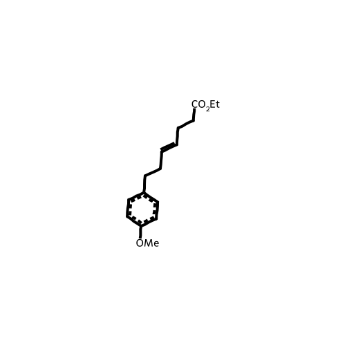 CCOC(=O)CC/C=C/CCc1ccc(OC)cc1